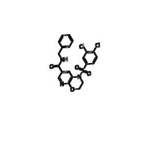 O=C(NCc1ccccc1)c1cnc2c(c1)N(S(=O)(=O)c1ccc(Cl)c(Cl)c1)CCO2